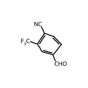 N#Cc1ccc(C=O)cc1C(F)(F)F